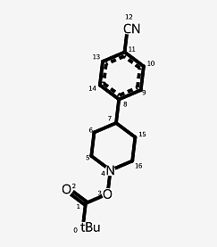 CC(C)(C)C(=O)ON1CCC(c2ccc(C#N)cc2)CC1